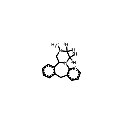 [2H]C1([2H])N(C)CC2c3ccccc3Cc3cccnc3N2C1([2H])[2H]